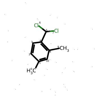 Cc1ccc(C(Cl)Cl)c(C)c1